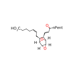 CCCCCC(=O)/C=C/[C@@H]1[C@H](C/C=C\CCCC(=O)O)[C@H]2O[C@@H]1[C@H]1O[C@H]12